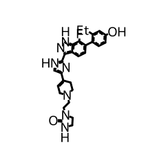 CCc1cc(O)ccc1-c1ccc2c(-c3nc(C4=CCN(CCN5CCNC5=O)CC4)c[nH]3)n[nH]c2c1F